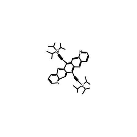 CC(C)[Si](C#Cc1c2cc3cccnc3cc2c(C#C[Si](C(C)C)(C(C)C)C(C)C)c2cc3cccnc3cc12)(C(C)C)C(C)C